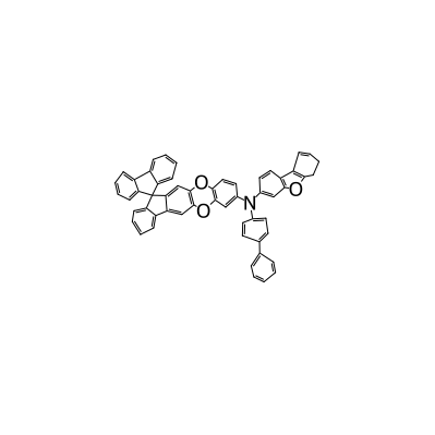 C1=Cc2c(oc3cc(N(c4ccc(-c5ccccc5)cc4)c4ccc5c(c4)Oc4cc6c(cc4O5)C4(c5ccccc5-c5ccccc54)c4ccccc4-6)ccc23)CC1